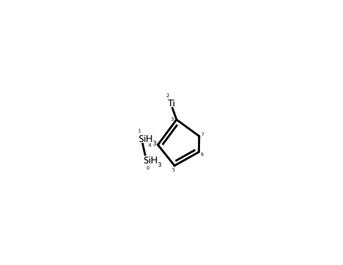 [SiH3][SiH3].[Ti][C]1=CC=CC1